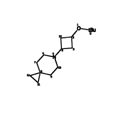 CC(C)(C)OC1CC(N2CCC3(CC2)CC3)C1